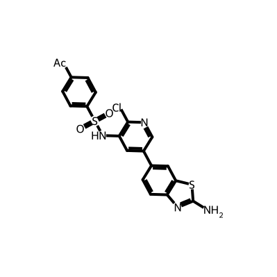 CC(=O)c1ccc(S(=O)(=O)Nc2cc(-c3ccc4nc(N)sc4c3)cnc2Cl)cc1